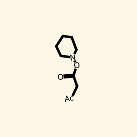 CC(=O)CC(=O)ON1CCCCC1